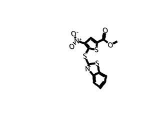 COC(=O)c1cc([N+](=O)[O-])c(Sc2nc3ccccc3s2)s1